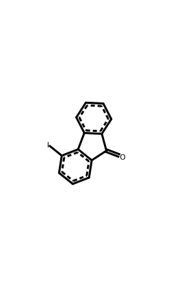 O=C1c2ccccc2-c2c(I)cccc21